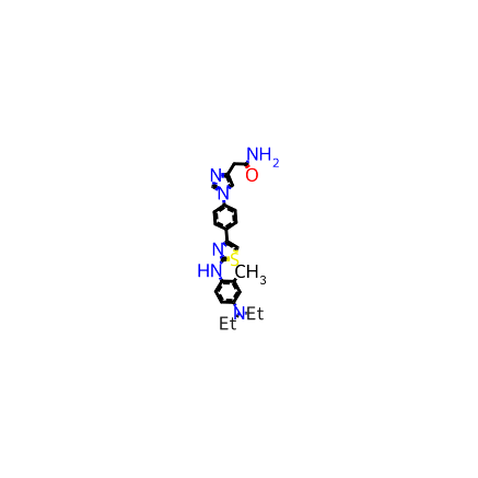 CCN(CC)c1ccc(Nc2nc(-c3ccc(-n4cnc(CC(N)=O)c4)cc3)cs2)c(C)c1